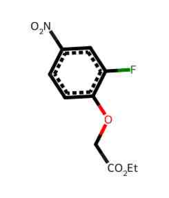 CCOC(=O)COc1ccc([N+](=O)[O-])cc1F